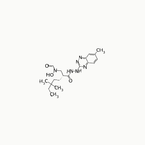 CCC(C)(C)CC[C@H](CN(O)C=O)C(=O)NNc1nnc2cc(C)ccc2n1